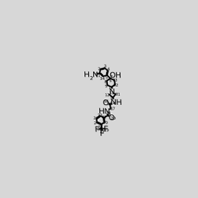 Nc1cccc([C@]2(O)CC[C@H](N3CC(NC(=O)CNC(=O)c4cccc(C(F)(F)F)c4)C3)CC2)c1